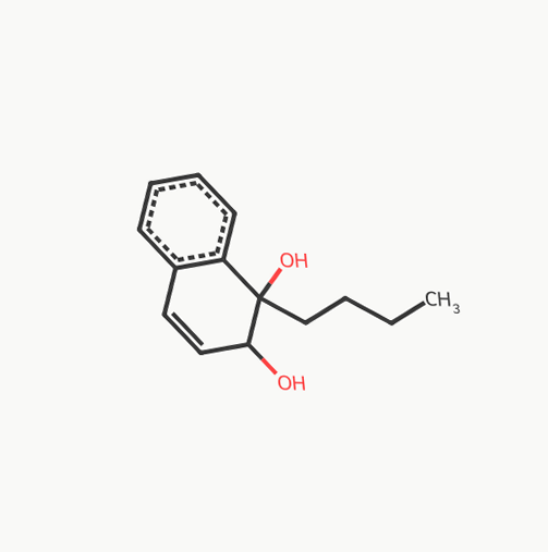 CCCCC1(O)c2ccccc2C=CC1O